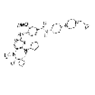 COc1cc(C(=O)N[C@H]2CC[C@H](N3CCN(CC4CC4)CC3)CC2)ccc1Nc1ncc2c(n1)N(C1CCCC1)CC1(CCC1)C(=O)N2C